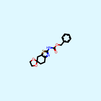 O=C(Nc1nc2c(s1)CC1(CC2)OCCO1)OCc1ccccc1